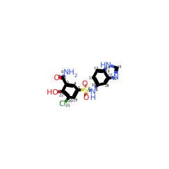 NC(=O)c1cc(S(=O)(=O)Nc2ccc3[nH]cnc3c2)cc(Cl)c1O